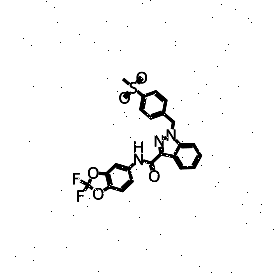 CS(=O)(=O)c1ccc(Cn2nc(C(=O)Nc3ccc4c(c3)OC(F)(F)O4)c3ccccc32)cc1